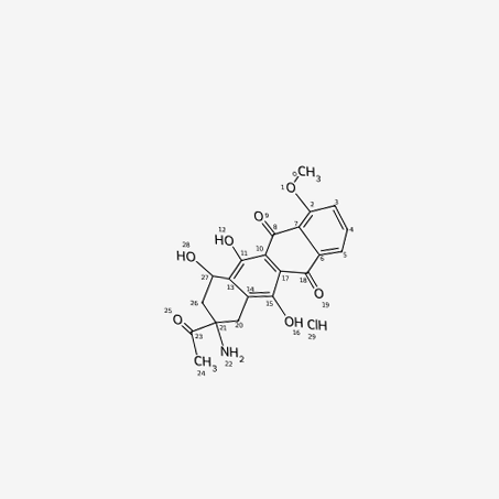 COc1cccc2c1C(=O)c1c(O)c3c(c(O)c1C2=O)CC(N)(C(C)=O)CC3O.Cl